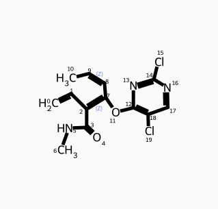 C=C/C(C(=O)NC)=C(\C=C/C)Oc1nc(Cl)ncc1Cl